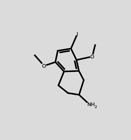 COc1cc(I)c(OC)c2c1CCC(N)C2